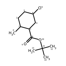 CC1CCC(Cl)CC1C(=O)OC(C)(C)C